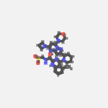 Cc1cccc2nc(C(=O)NC[SH](=O)=O)nc(N3CCCCC3c3cc4nc(N5CCC5)cc(N5CCOCC5)n4n3)c12